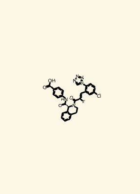 O=C(O)c1ccc(NC(=O)[C@@H]2c3ccccc3CCN2C(=O)/C(F)=C/c2cc(Cl)ccc2-n2cnnn2)cc1